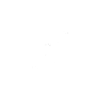 CC(C)(C)[CH]C(=O)NOC(C)(C)C